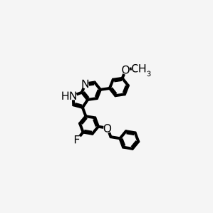 COc1cccc(-c2cnc3[nH]cc(-c4cc(F)cc(OCc5ccccc5)c4)c3c2)c1